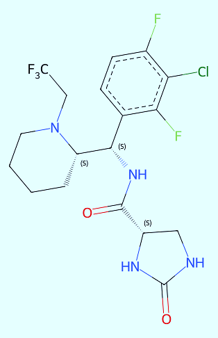 O=C1NC[C@@H](C(=O)N[C@@H](c2ccc(F)c(Cl)c2F)[C@@H]2CCCCN2CC(F)(F)F)N1